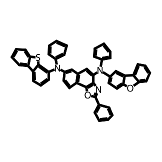 c1ccc(-c2nc3c(N(c4ccccc4)c4ccc5oc6ccccc6c5c4)cc4cc(N(c5ccccc5)c5cccc6c5sc5ccccc56)ccc4c3o2)cc1